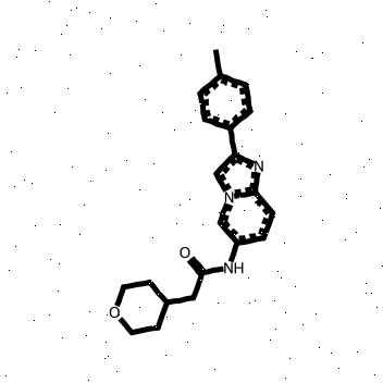 Cc1ccc(-c2cn3cc(NC(=O)CC4CCOCC4)ccc3n2)cc1